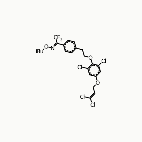 CCC(C)ON=C(c1ccc(CCOc2c(Cl)cc(OCC=C(Cl)Cl)cc2Cl)cc1)C(F)(F)F